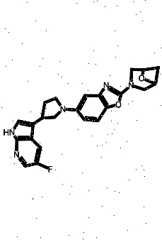 Fc1cnc2[nH]cc(C3CCN(c4ccc5oc(N6CC7CC(C6)O7)nc5c4)C3)c2c1